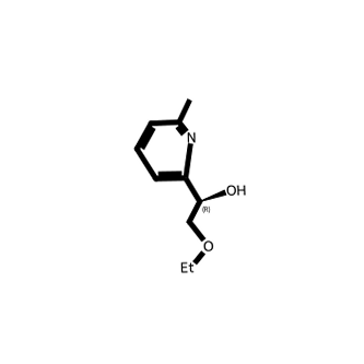 CCOC[C@H](O)c1cccc(C)n1